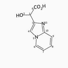 O=C(O)C(O)c1cn2ccccc2n1